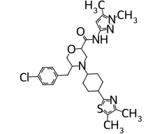 Cc1nc(C2CCC(N3CC(C(=O)Nc4cc(C)n(C)n4)OCC3Cc3ccc(Cl)cc3)CC2)sc1C